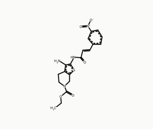 CCOC(=O)N1CCc2c(sc(NC(=O)/C=C/c3cccc([N+](=O)[O-])c3)c2N)C1